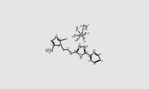 Cc1ncc([N+](=O)[O-])n1CCSc1nnc(-c2ccccn2)o1.[Ag+].[F][Sb-]([F])([F])([F])([F])[F]